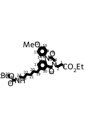 CCOC(=O)CCN1CC(=O)N(c2ccc(OC)cc2)c2ccc(CCCCCCNC(=O)OC(C)(C)C)cc2C1=O